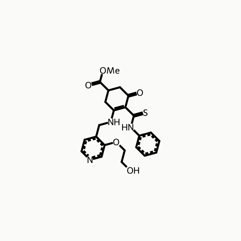 COC(=O)C1CC(=O)C(C(=S)Nc2ccccc2)=C(NCc2ccncc2OCCO)C1